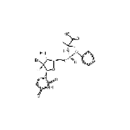 CC(C)(N[P@](=O)(OC[C@H]1O[C@@H](n2ccc(=O)[nH]c2=O)[C@](Cl)(Br)[C@@H]1O)Oc1ccccc1)C(=O)O